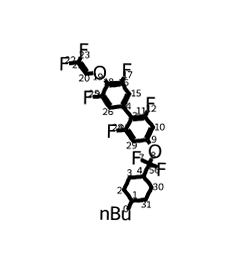 CCCCC1CCC(C(F)(F)Oc2cc(F)c(-c3cc(F)c(OC=C(F)F)c(F)c3)c(F)c2)CC1